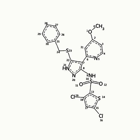 COc1ccnc(-c2c(NS(=O)(=O)c3sc(Cl)cc3Cl)n[nH]c2SCc2ccccc2)c1